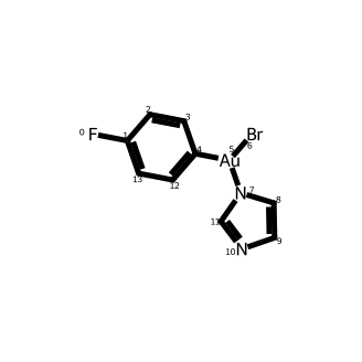 Fc1cc[c]([Au]([Br])[n]2ccnc2)cc1